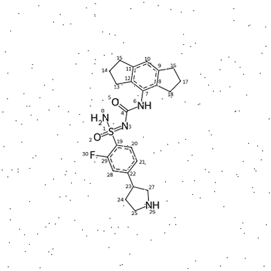 NS(=O)(=NC(=O)Nc1c2c(cc3c1CCC3)CCC2)c1ccc(C2CCNC2)cc1F